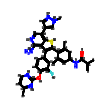 C=C(C)C(=O)Nc1cc(C)c(-c2sc3c(-c4cnn(C)c4)cnc(N)c3c2-c2ccc(Oc3nccc(C)n3)c(F)c2)c(C)c1